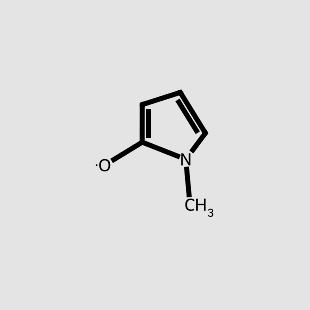 Cn1cccc1[O]